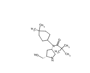 CC1(C)CCC(N(C(=O)C(C)(C)C)[C@@H]2CN[C@H](CO)C2)CC1